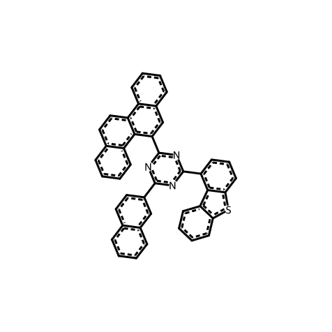 c1ccc2cc(-c3nc(-c4cccc5sc6ccccc6c45)nc(-c4cc5ccccc5c5ccc6ccccc6c45)n3)ccc2c1